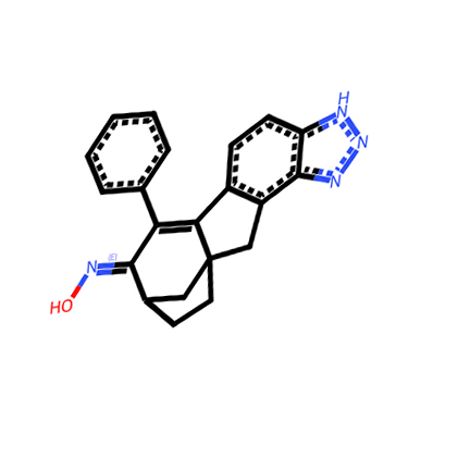 O/N=C1/C(c2ccccc2)=C2c3ccc4[nH]nnc4c3CC23CCC1C3